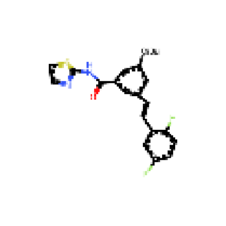 CC(C)COc1cc(C=Cc2cc(F)ccc2F)cc(C(=O)Nc2nccs2)c1